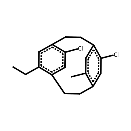 CCc1cc2c(Cl)cc1CCc1cc(Cl)c(cc1C)CC2